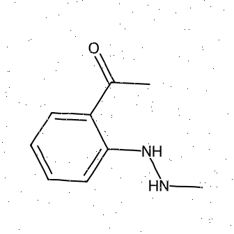 CNNc1ccccc1C(C)=O